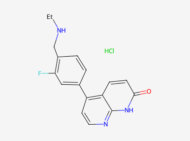 CCNCc1ccc(-c2ccnc3[nH]c(=O)ccc23)cc1F.Cl